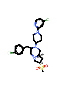 CS(=O)(=O)[C@H]1C[C@H]2CN(C3CCN(c4cc(Cl)ccn4)CC3)C(Cc3ccc(Cl)cc3)CN2C1